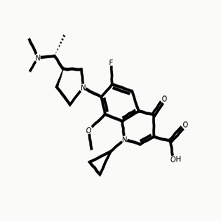 COc1c(N2CC[C@@H]([C@@H](C)N(C)C)C2)c(F)cc2c(=O)c(C(=O)O)cn(C3CC3)c12